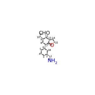 NCc1cccc(-c2cc(CC=O)cc3ccoc23)c1